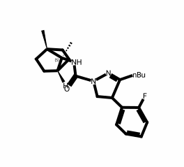 CCCCC1=NN(C(=O)N[C@@]2(C)[C@H]3CC[C@]2(C)CC3)CC1c1ccccc1F